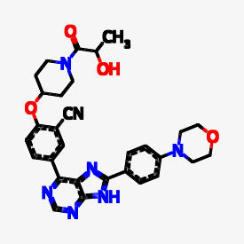 CC(O)C(=O)N1CCC(Oc2ccc(-c3ncnc4[nH]c(-c5ccc(N6CCOCC6)cc5)nc34)cc2C#N)CC1